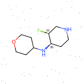 F[C@H]1CNCC[C@H]1NC1CCOCC1